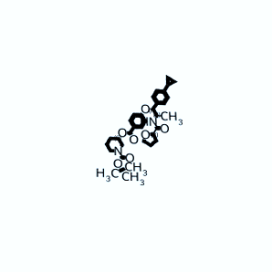 C[C@H](NC(=O)[C@H]1CCCO1)[C@H](Oc1ccc(C(=O)O[C@H]2CCCN(C(=O)OC(C)(C)C)C2)cc1)c1ccc(C2CC2)cc1